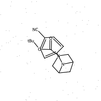 CC(C)(C)OC(=O)N1CC2CC(C1)N2c1ccc(C#N)cc1